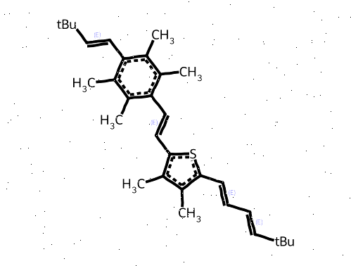 Cc1c(/C=C/C=C/C(C)(C)C)sc(/C=C/c2c(C)c(C)c(/C=C/C(C)(C)C)c(C)c2C)c1C